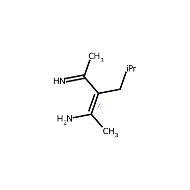 CC(=N)/C(CC(C)C)=C(/C)N